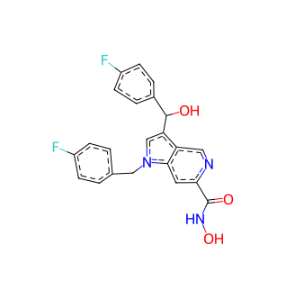 O=C(NO)c1cc2c(cn1)c(C(O)c1ccc(F)cc1)cn2Cc1ccc(F)cc1